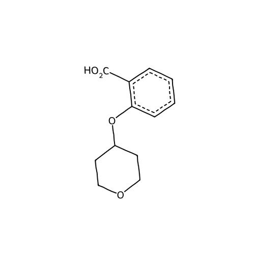 O=C(O)c1ccccc1OC1CCOCC1